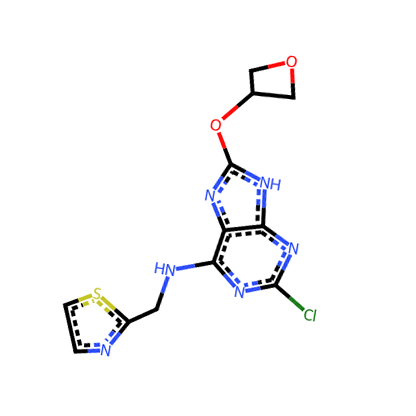 Clc1nc(NCc2nccs2)c2nc(OC3COC3)[nH]c2n1